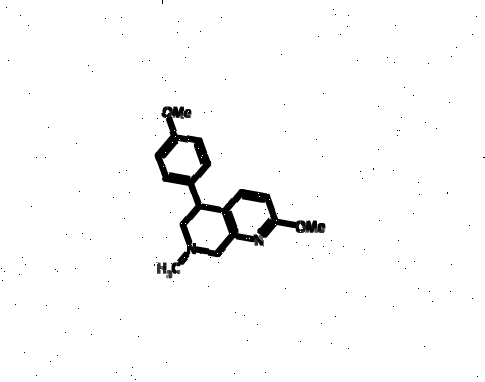 COc1ccc(C2CN(C)Cc3nc(OC)ccc32)cc1